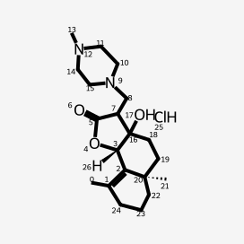 CC1=C2[C@@H]3OC(=O)C(CN4CCN(C)CC4)C3(O)CC[C@@]2(C)CCC1.Cl